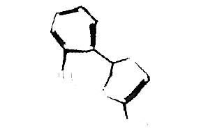 Nc1ccccc1C1OC=C(C=O)O1